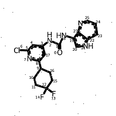 O=C(Nc1cc(Cl)nc(C2CCC(F)(F)CC2)c1)Nc1c[nH]c2cccnc12